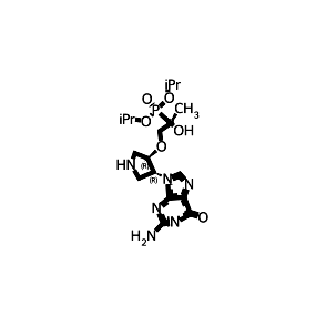 CC(C)OP(=O)(OC(C)C)[C@](C)(O)CO[C@@H]1CNC[C@H]1n1cnc2c(=O)[nH]c(N)nc21